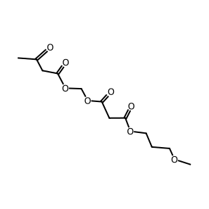 COCCCOC(=O)CC(=O)OCOC(=O)CC(C)=O